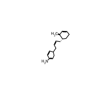 C=C1C=CCC[C@@H]1C/C=C\CC1C=CC(N)=CC1